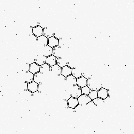 CC1(C)c2ccccc2-n2c1c(-c1ccccc1)c1cc(-c3ccc(-c4nc(-c5cccc(-c6ccccc6)c5)cc(-c5cccc(-c6ccccc6)c5)n4)cc3)ccc12